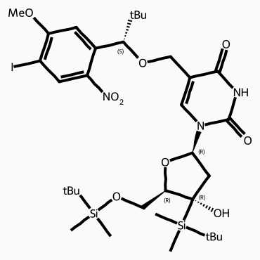 COc1cc([C@@H](OCc2cn([C@H]3C[C@@](O)([Si](C)(C)C(C)(C)C)[C@@H](CO[Si](C)(C)C(C)(C)C)O3)c(=O)[nH]c2=O)C(C)(C)C)c([N+](=O)[O-])cc1I